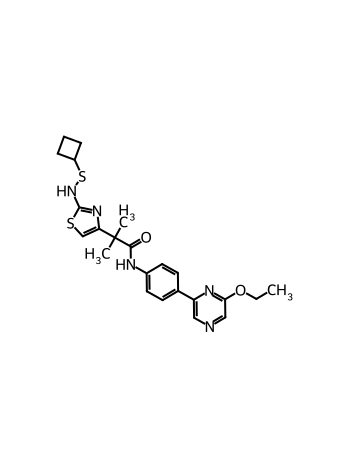 CCOc1cncc(-c2ccc(NC(=O)C(C)(C)c3csc(NSC4CCC4)n3)cc2)n1